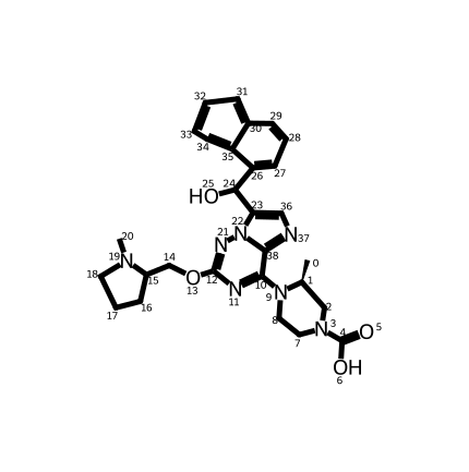 C[C@H]1CN(C(=O)O)CCN1c1nc(OCC2CCCN2C)nn2c(C(O)c3cccc4ccccc34)cnc12